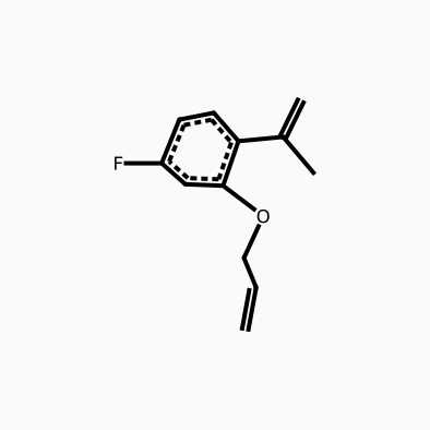 C=CCOc1cc(F)ccc1C(=C)C